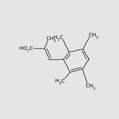 CC(=Cc1c(C)c(C)cc(C)c1C)C(=O)O